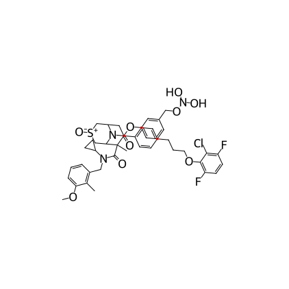 COc1cccc(CN(C(=O)C2(C)C(c3ccc(CCCOc4c(F)ccc(F)c4Cl)cc3)CC3C[S+]([O-])CC2N3C(=O)Oc2cccc(CON(O)O)c2)C2CC2)c1C